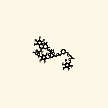 [CH2]C(COCC1CCCC(COCC(COCc2c(F)c(F)c(F)c(F)c2F)OC(=O)NCC2(C)CC(N(Cc3c(F)c(F)c(F)c(F)c3F)CC3OCC(=C)O3)CC(C)(C)C2)C1)OCc1c(F)c(F)c(F)c(F)c1F